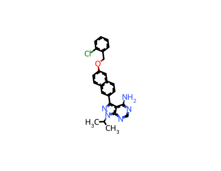 CC(C)n1nc(-c2ccc3cc(OCc4ccccc4Cl)ccc3c2)c2c(N)ncnc21